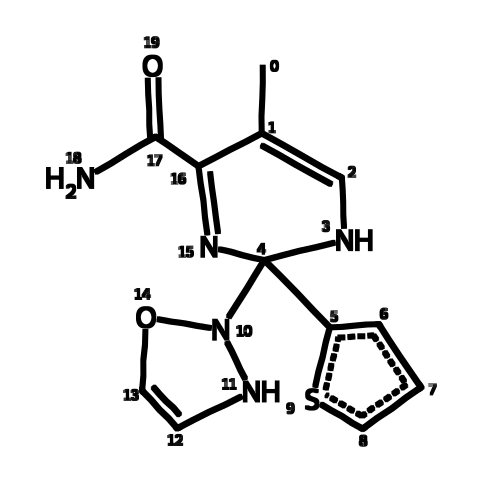 CC1=CNC(c2cccs2)(N2NC=CO2)N=C1C(N)=O